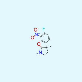 CN1CCC(C)(c2ccc(F)c([N+](=O)[O-])c2)C1=O